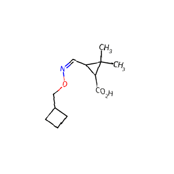 CC1(C)C(/C=N\OCC2CCC2)C1C(=O)O